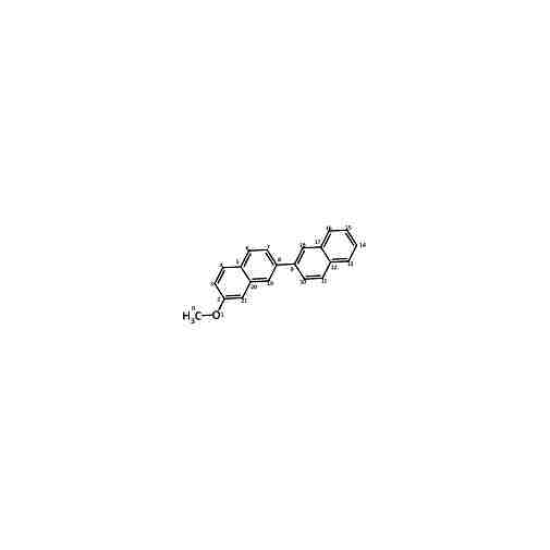 COc1ccc2ccc(-c3ccc4ccccc4c3)cc2c1